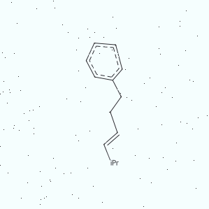 CC(C)C=CCCc1ccccc1